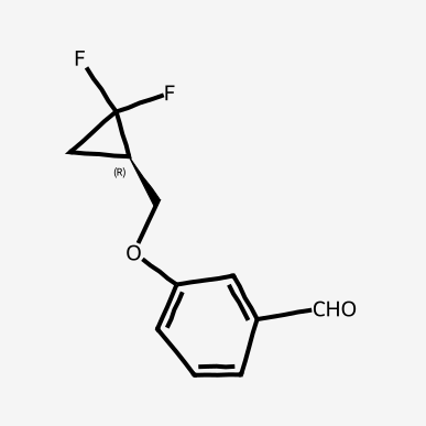 O=Cc1cccc(OC[C@H]2CC2(F)F)c1